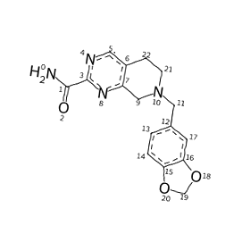 NC(=O)c1n[c]c2c(n1)CN(Cc1ccc3c(c1)OCO3)CC2